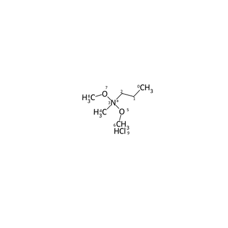 CCC[N+](C)(OC)OC.Cl